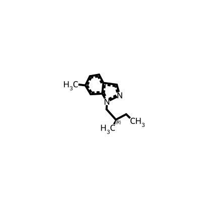 CC[C@@H](C)Cn1ncc2ccc(C)cc21